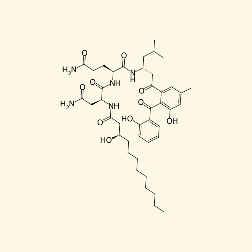 CCCCCCCCC[C@@H](O)CC(=O)N[C@@H](CC(N)=O)C(=O)N[C@@H](CCC(N)=O)C(=O)N[C@@H](CC(=O)c1cc(C)cc(O)c1C(=O)c1ccccc1O)CC(C)C